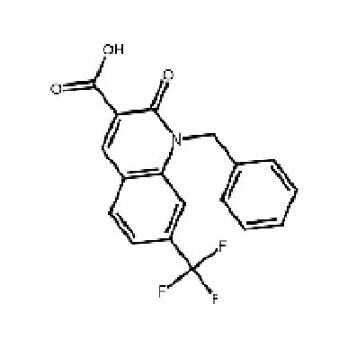 O=C(O)c1cc2ccc(C(F)(F)F)cc2n(Cc2ccccc2)c1=O